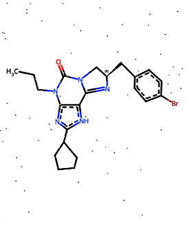 CCCN1C(=O)N2C[C@@H](Cc3ccc(Br)cc3)N=C2c2[nH]c(C3CCCC3)nc21